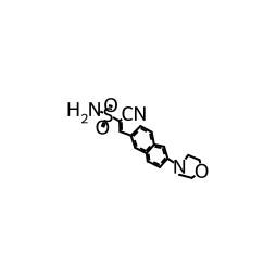 N#C/C(=C\c1ccc2cc(N3CCOCC3)ccc2c1)S(N)(=O)=O